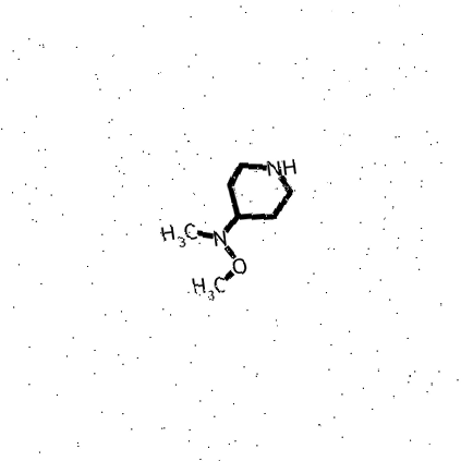 CON(C)C1CCNCC1